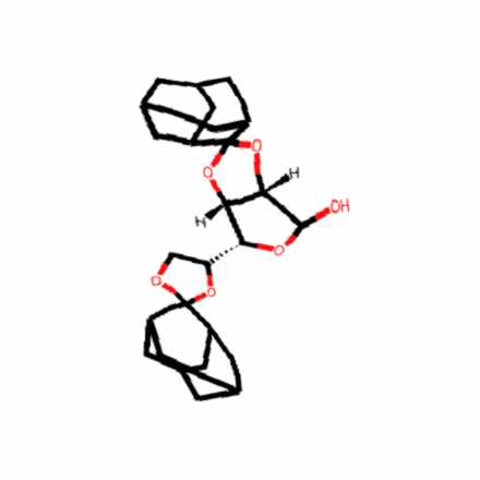 OC1O[C@H](C2COC3(O2)C2CC4CC(C2)CC3C4)[C@@H]2OC3(O[C@H]12)C1CC2CC(C1)CC3C2